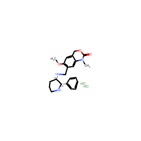 COc1cc2c(cc1CN[C@H]1CCCN[C@H]1c1ccccc1)N(C)C(=O)OC2.Cl.Cl